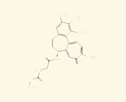 COc1cc2c(c(OC)c1OC)-c1ccc(OC)c(=O)cc1[C@@H](NC(=O)CNC(=O)OC(C)(C)C)CC2